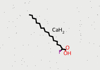 CCCCCCCCCCCCCCCCC(I)C(=O)O.[CaH2]